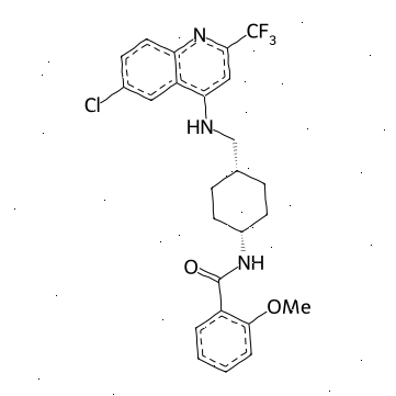 COc1ccccc1C(=O)N[C@H]1CC[C@@H](CNc2cc(C(F)(F)F)nc3ccc(Cl)cc23)CC1